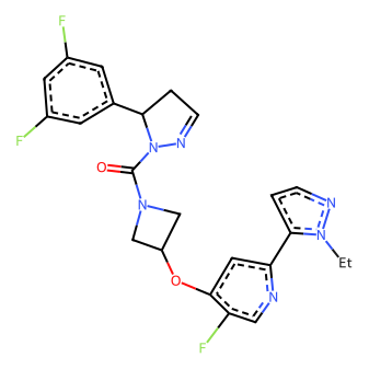 CCn1nccc1-c1cc(OC2CN(C(=O)N3N=CCC3c3cc(F)cc(F)c3)C2)c(F)cn1